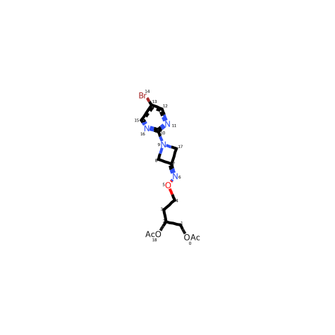 CC(=O)OCC(CCON=C1CN(c2ncc(Br)cn2)C1)OC(C)=O